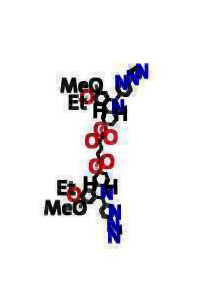 CCOc1cc2c(cc1OC)C(c1ccc(-n3ccnc3)nc1)=N[C@@H]1CC[C@@H](OC(=O)CCC(=O)C(=O)O[C@@H]3CC[C@H]4N=C(c5ccc(-n6ccnc6)nc5)c5cc(OC)c(OCC)cc5[C@H]4C3)C[C@H]21